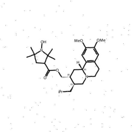 COc1cc2c(cc1OC)[C@H]1C[C@@H](COC(=O)C3CC(C)(C)N(O)C3(C)C)[C@H](CC(C)C)CN1CC2